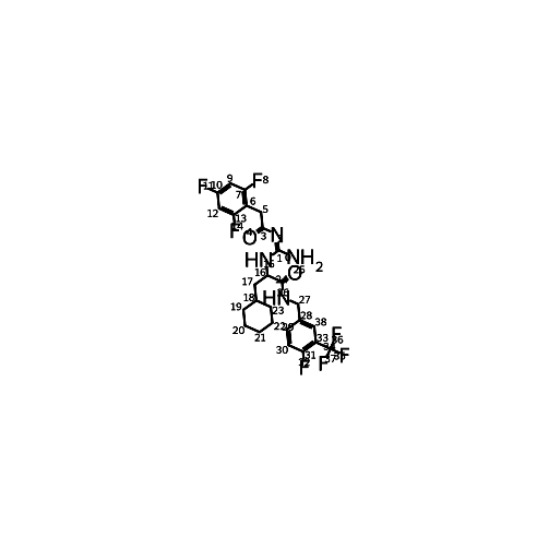 NC(=NC(=O)Cc1c(F)cc(F)cc1F)NC(CC1CCCCC1)C(=O)NCc1ccc(F)c(C(F)(F)F)c1